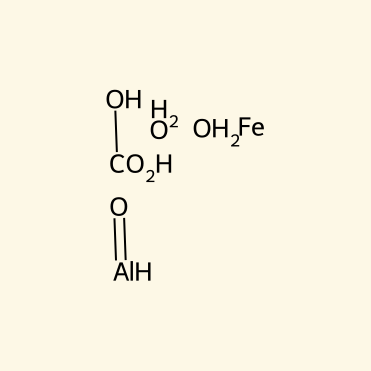 O.O.O=C(O)O.[Fe].[O]=[AlH]